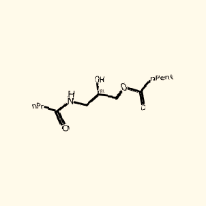 CCCCCC(=O)OC[C@H](O)CNC(=O)CCC